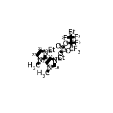 CCC(F)(F)C(F)(OP(=O)([O-])[O-])C(F)(F)F.CC[n+]1ccn(C)c1.CC[n+]1ccn(C)c1